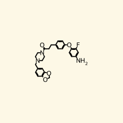 Nc1ccc(Oc2ccc(CCC(=O)N3CCN(Cc4ccc5c(c4)OCO5)CC3)cc2)c(F)c1